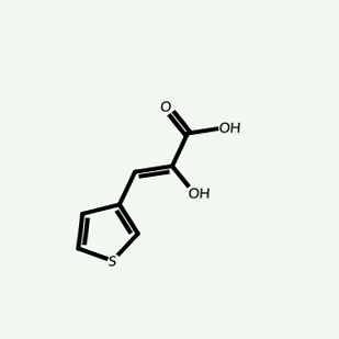 O=C(O)C(O)=Cc1ccsc1